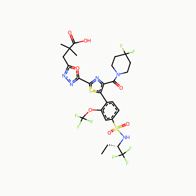 CC[C@H](NS(=O)(=O)c1ccc(-c2sc(-c3nnc(CC(C)(C)C(=O)O)o3)nc2C(=O)N2CCC(F)(F)CC2)c(OC(F)(F)F)c1)C(F)(F)F